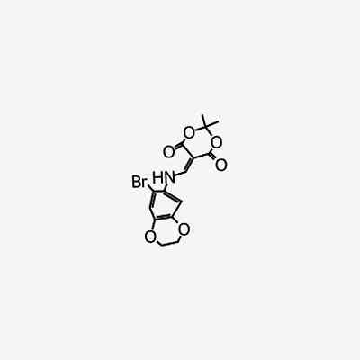 CC1(C)OC(=O)C(=CNc2cc3c(cc2Br)OCCO3)C(=O)O1